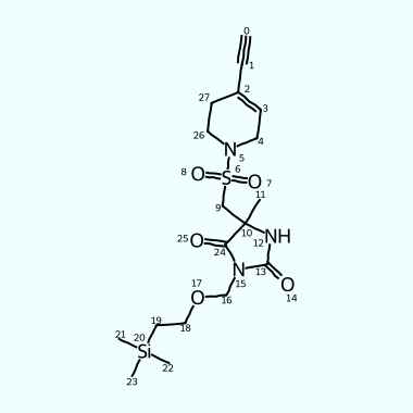 C#CC1=CCN(S(=O)(=O)CC2(C)NC(=O)N(COCC[Si](C)(C)C)C2=O)CC1